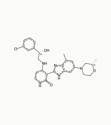 Cc1cc(N2CCO[C@@H](C)C2)cc2[nH]c(-c3c(NC[C@@H](O)c4cccc(Cl)c4)cc[nH]c3=O)nc12